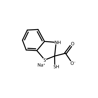 O=C([O-])C1(S)Nc2ccccc2S1.[Na+]